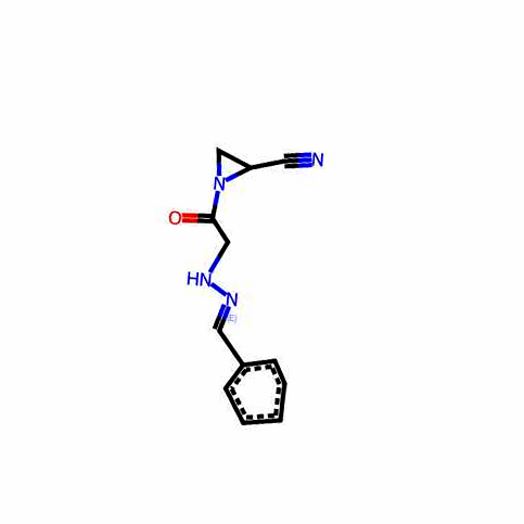 N#CC1CN1C(=O)CN/N=C/c1ccccc1